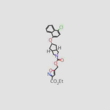 CCOC(=O)c1cc(COC(=O)N2C[C@H]3C[C@@H](Oc4ccc(Cl)c5ccccc45)C[C@H]3C2)on1